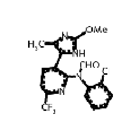 COc1nc(C)c(-c2ccc(C(F)(F)F)nc2N(C=O)c2ccccc2Cl)[nH]1